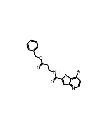 O=C(CCNC(=O)c1cc2nccc(Br)c2s1)OCc1ccccc1